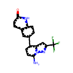 Nc1ccc(-c2ccc3[nH]c(=O)ccc3c2)c2cc(C(F)(F)F)nn12